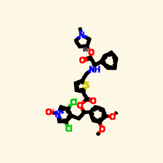 COc1ccc(C(Cc2c(Cl)c[n+]([O-])cc2Cl)OC(=O)c2ccc(CN[C@H](C(=O)O[C@@H]3CCN(C)C3)c3ccccc3)s2)cc1OC